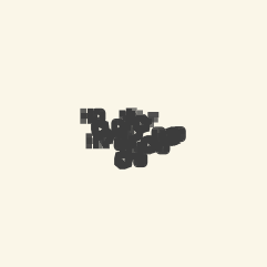 NC(=O)CN(C(=O)Cc1c[nH]c2ccc(O)cc12)C(Cc1cc(F)cc(F)c1)c1nc2ccccc2c(=O)n1-c1ccc(S(=O)(=O)N2CCOCC2)cc1